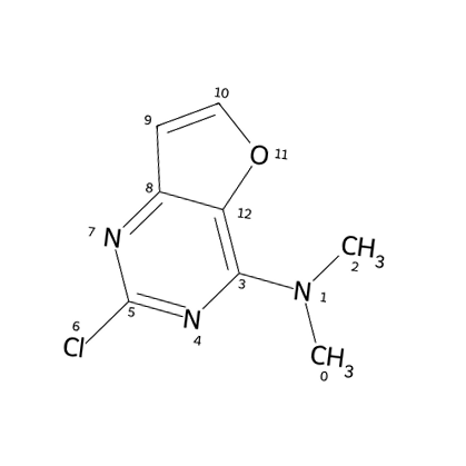 CN(C)c1nc(Cl)nc2ccoc12